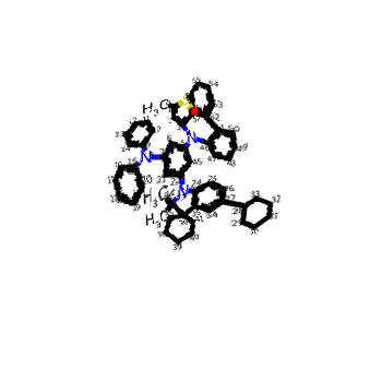 Cc1cc(N(c2cc(N(c3ccccc3)c3ccccc3)cc(N3c4ccc(C5CCCCC5)cc4C4(CCCCC4)C3(C)C)c2)c2ccccc2-c2ccccc2)cs1